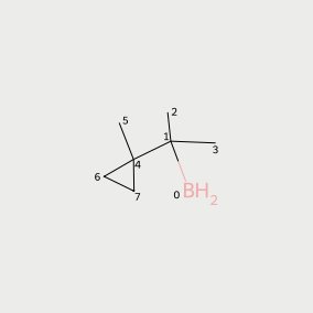 BC(C)(C)C1(C)CC1